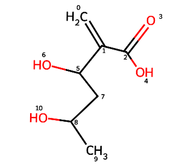 C=C(C(=O)O)C(O)CC(C)O